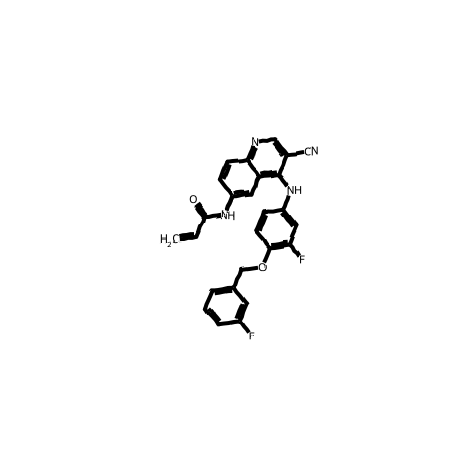 C=CC(=O)Nc1ccc2ncc(C#N)c(Nc3ccc(OCc4cccc(F)c4)c(F)c3)c2c1